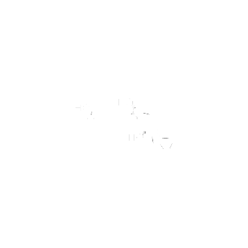 C=C1C[C@H](O)[C@H](CCCCCCC(=O)O)[C@H]1CC[C@@H](O)c1cc2ccccc2s1